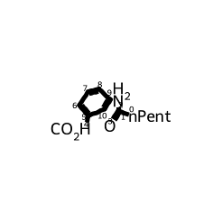 CCCCCC(N)=O.O=C(O)c1ccccc1